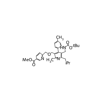 COC(=O)c1ccc(COCc2c(C)nc(CC(C)C)c(CNC(=O)OC(C)(C)C)c2-c2ccc(C)cc2)nc1